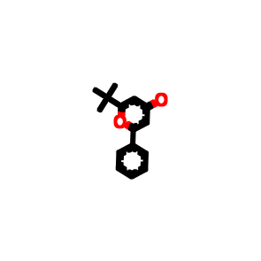 CC(C)(C)c1cc(=O)cc(-c2ccccc2)o1